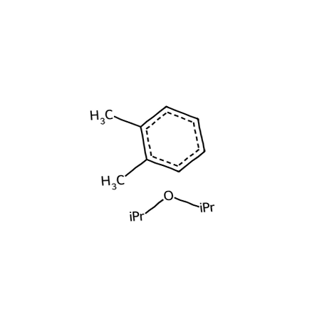 CC(C)OC(C)C.Cc1ccccc1C